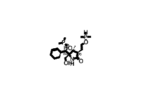 CP(C)O[C@@H]([C@@H]1C=CCCC1)[C@@]1(CO)NC(=O)[C@H](CCO[PH](C)(C)C)[C@]1(C)O